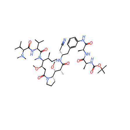 CC[C@H](C)[C@@H]([C@@H](CC(=O)N1CCC[C@H]1[C@H](OC)[C@@H](C)C(=O)N[C@H](CC#N)Cc1cccc(NC(=O)[C@H](C)NC(=O)[C@H](C)NC(=O)OC(C)(C)C)c1)OC)N(C)C(=O)[C@@H](NC(=O)[C@H](C(C)C)N(C)C)C(C)C